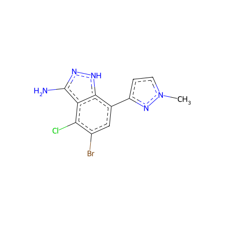 Cn1ccc(-c2cc(Br)c(Cl)c3c(N)n[nH]c23)n1